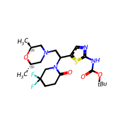 C[C@H]1CN(CC(c2cnc(NC(=O)OC(C)(C)C)s2)N2CC(F)(F)CCC2=O)C[C@H](C)O1